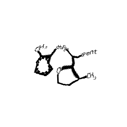 CCCC(C)C(C)C1OCCC1C.CCOC(=O)c1ccccc1C